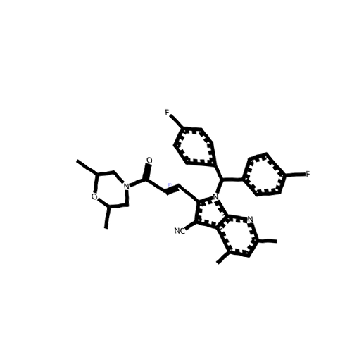 Cc1cc(C)c2c(C#N)c(/C=C/C(=O)N3CC(C)OC(C)C3)n(C(c3ccc(F)cc3)c3ccc(F)cc3)c2n1